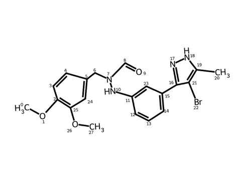 COc1ccc(CN(C=O)Nc2cccc(-c3n[nH]c(C)c3Br)c2)cc1OC